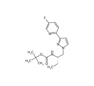 CC[C@@H](Cn1ccc(-c2ccc(F)cn2)n1)NC(=O)OC(C)(C)C